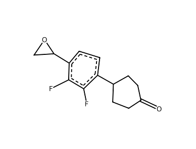 O=C1CCC(c2ccc(C3CO3)c(F)c2F)CC1